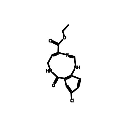 CCOC(=O)C1=CCNC(=O)c2cc(Cl)ccc2NC=N1